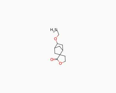 O=C1OCCC12CC1CC2CC1OC[SiH3]